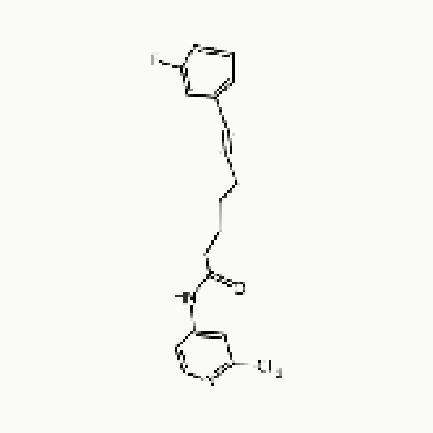 O=C(CCCCC#Cc1cccc(F)c1)Nc1ccnc(C(F)(F)F)c1